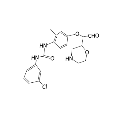 Cc1cc(OC(C=O)C2CNCCO2)ccc1NC(=O)Nc1cccc(Cl)c1